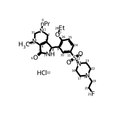 CCCN1CC2=C(C(=O)NC2c2cc(S(=O)(=O)N3CCN(CCF)CC3)ccc2OCC)N(C)C1.Cl